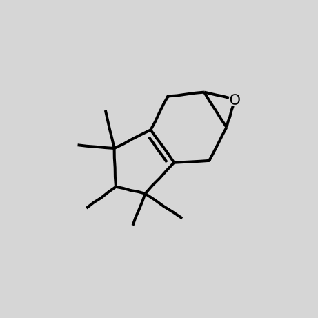 CC1C(C)(C)C2=C(CC3OC3C2)C1(C)C